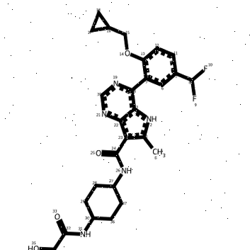 Cc1[nH]c2c(-c3cc(C(F)F)ccc3OCC3CC3)ncnc2c1C(=O)NC1CCC(NC(=O)CO)CC1